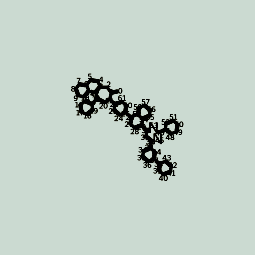 C=C1Cc2ccc3ccccc3c2C(c2ccccc2)=CC1c1ccc(-c2ccc(-c3cc(-c4cccc(-c5ccccc5)c4)nc(-c4ccccc4)n3)c3ccccc23)cc1